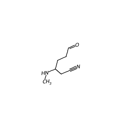 CNC(CC#N)CCC=O